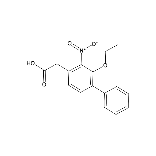 CCOc1c(-c2ccccc2)ccc(CC(=O)O)c1[N+](=O)[O-]